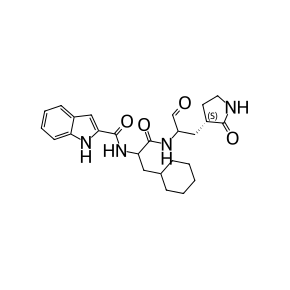 O=CC(C[C@@H]1CCNC1=O)NC(=O)C(CC1CCCCC1)NC(=O)c1cc2ccccc2[nH]1